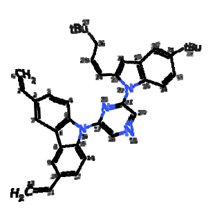 C=Cc1ccc2c(c1)c1cc(C=C)ccc1n2-c1cncc(-n2c(/C=C\CC(C)(C)C)cc3cc(C(C)(C)C)ccc32)n1